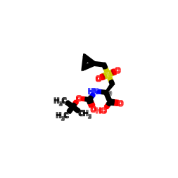 CC(C)(C)OC(=O)N[C@@H](CS(=O)(=O)CC1CC1)C(=O)O